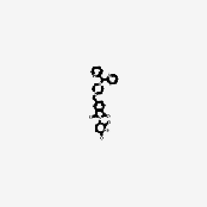 O=C1CCC(N2C(=O)c3ccc(CN4CCN(C(c5ccccn5)c5ccccn5)CC4)cc3C2=O)C(=O)N1